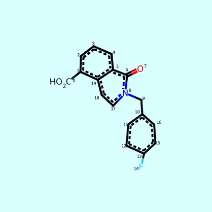 O=C(O)c1cccc2c(=O)n(Cc3ccc(F)cc3)ccc12